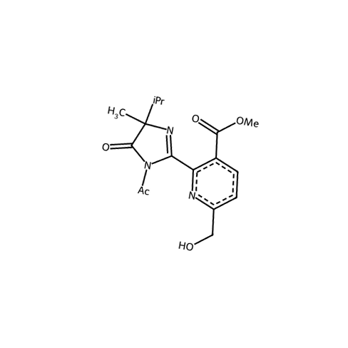 COC(=O)c1ccc(CO)nc1C1=NC(C)(C(C)C)C(=O)N1C(C)=O